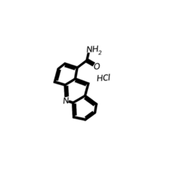 Cl.NC(=O)c1cccc2nc3ccccc3cc12